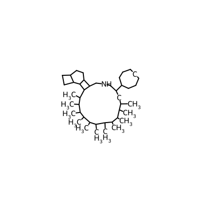 CC1CC(C2CCCCCCC2)CNCC2C3CCC4CCC4C3C2C(C)C(C)C(C)C(C)C(C)C(C)C(C)C(C)C(C)C1C